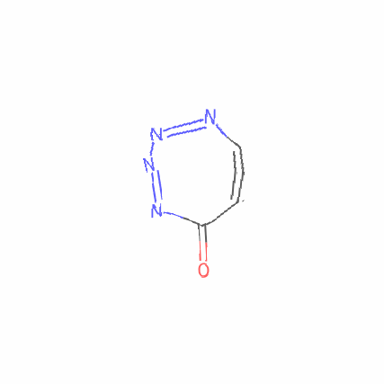 O=c1[c]cnnnn1